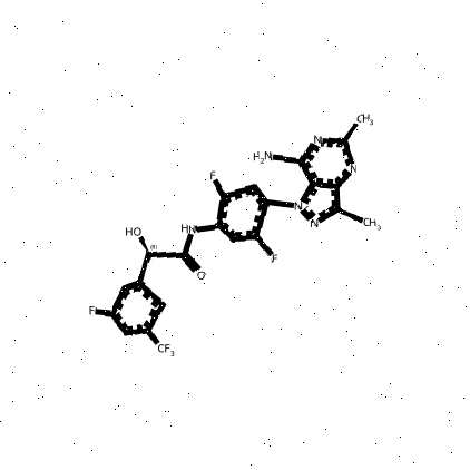 Cc1nc(N)c2c(n1)c(C)nn2-c1cc(F)c(NC(=O)[C@H](O)c2cc(F)cc(C(F)(F)F)c2)cc1F